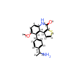 COc1ccc2[nH]c(=O)c3sccc3c2c1-c1ccc(C(C)N)cc1